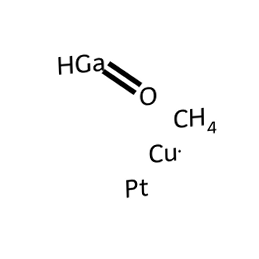 C.[Cu].[O]=[GaH].[Pt]